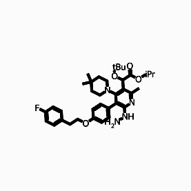 Cc1nc(NN)c(-c2ccc(OCCc3ccc(F)cc3)cc2)c(N2CCC(C)(C)CC2)c1C(OC(C)(C)C)C(=O)OC(C)C